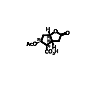 CC(=O)O[C@@H]1C[C@@H]2OC(=O)C[C@@H]2[C@H]1C(=O)O